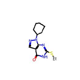 CCSc1nc2c(cnn2C2CCCCC2)c(=O)[nH]1